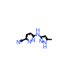 Cc1cc(Nc2ccc(C#N)nn2)n[nH]1